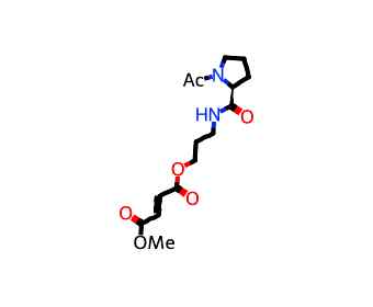 COC(=O)/C=C/C(=O)OCCCNC(=O)[C@@H]1CCCN1C(C)=O